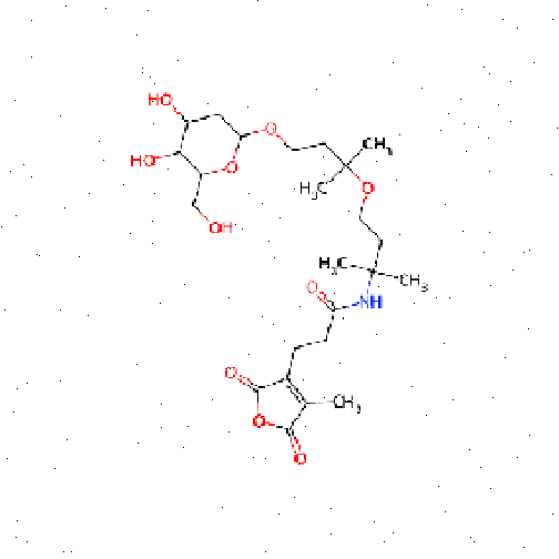 CC1=C(CCC(=O)NC(C)(C)CCOC(C)(C)CCOC2CC(O)C(O)C(CO)O2)C(=O)OC1=O